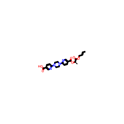 C/C=C/COC(=O)[C@@H](C)OC(=O)c1ccc(N2CCN(c3ccc(C(=O)O)cn3)CC2)nc1